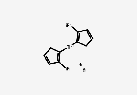 CC(C)C1=[C]([Ti+2][C]2=C(C(C)C)C=CC2)CC=C1.[Br-].[Br-]